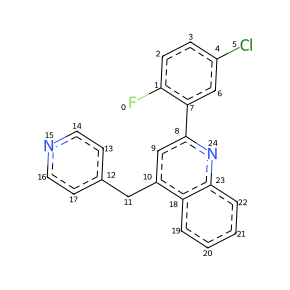 Fc1ccc(Cl)cc1-c1cc(Cc2ccncc2)c2ccccc2n1